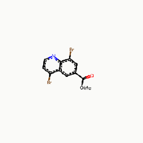 COC(=O)c1cc(Br)c2nccc(Br)c2c1